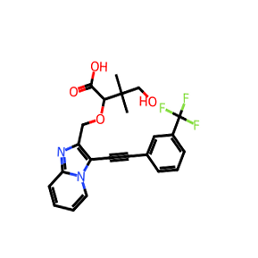 CC(C)(CO)C(OCc1nc2ccccn2c1C#Cc1cccc(C(F)(F)F)c1)C(=O)O